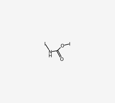 O=C(NI)OI